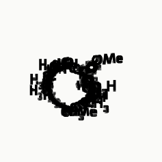 CO[C@H]1CCC[C@@H](CC2CCC(=O)[C@H](C)/C=C(\C)[C@@H](O)CC(=O)[C@H](C)C[C@H](C)/C=C/C=C/C=C(\C)[C@@H](OC)CCCC[C@@H](C)C(O)(O)C(=O)C(=O)N3CC[C@H]2C[C@H]3C(=O)O)C1